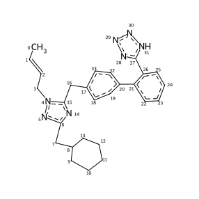 C/C=C/Cn1nc(CC2CCCCC2)nc1Cc1ccc(-c2ccccc2-c2nnn[nH]2)cc1